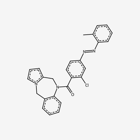 Cc1ccccc1/N=N/c1ccc(C(=O)N2Cc3cccn3Cc3ccccc32)c(Cl)c1